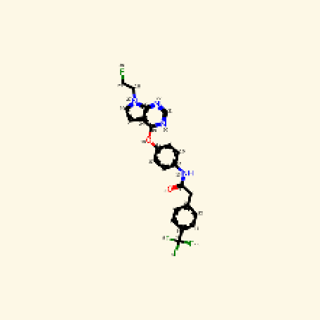 O=C(Cc1ccc(C(F)(F)F)cc1)Nc1ccc(Oc2ncnc3c2ccn3CCF)cc1